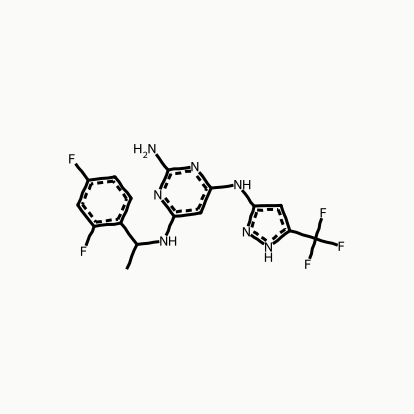 CC(Nc1cc(Nc2cc(C(F)(F)F)[nH]n2)nc(N)n1)c1ccc(F)cc1F